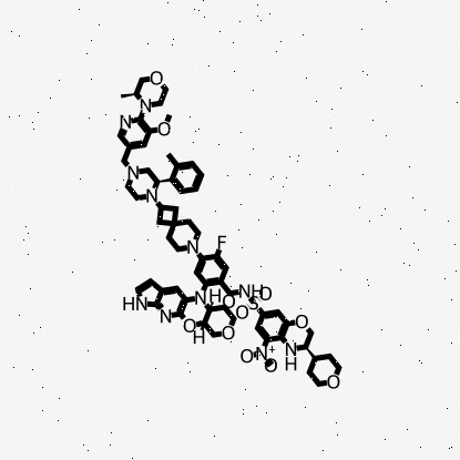 COc1cc(CN2CCN(C3CC4(CCN(c5cc(N6c7cc8cc[nH]c8nc7O[C@H]7COCC[C@@H]76)c(C(=O)NS(=O)(=O)c6cc7c(c([N+](=O)[O-])c6)N[C@H](C6CCOCC6)CO7)cc5F)CC4)C3)[C@H](c3ccccc3C)C2)cnc1N1CCOC[C@@H]1C